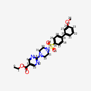 CCOC(=O)c1cnc(N2CCN(S(=O)(=O)c3ccc(-c4cccc(OC)c4)cc3)CC2)nc1